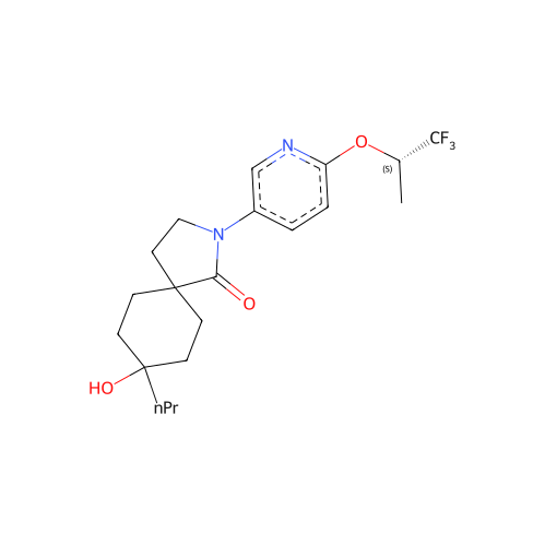 CCCC1(O)CCC2(CCN(c3ccc(O[C@@H](C)C(F)(F)F)nc3)C2=O)CC1